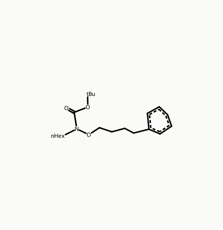 CCCCCCN(OCCCCc1ccccc1)C(=O)OC(C)(C)C